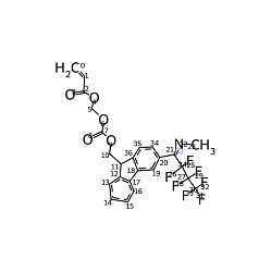 C=CC(=O)OCOC(=O)OCC1c2ccccc2-c2cc(/C(=N/C)C(F)(F)C(F)(F)C(F)(F)F)ccc21